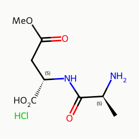 COC(=O)C[C@H](NC(=O)[C@H](C)N)C(=O)O.Cl